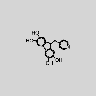 Oc1cc2c(cc1O)C(Cc1ccncc1)c1cc(O)c(O)cc1-2